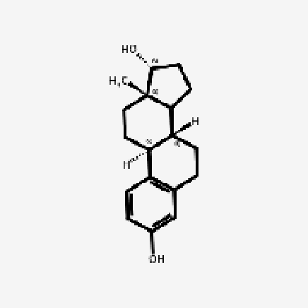 C[C@]12CC[C@@H]3c4ccc(O)cc4CC[C@H]3C1CC[C@H]2O